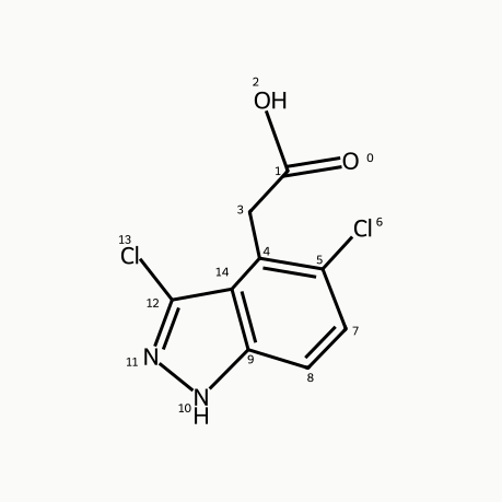 O=C(O)Cc1c(Cl)ccc2[nH]nc(Cl)c12